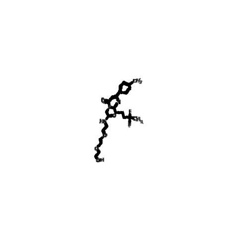 Cc1ccc(-c2cc(=O)n(CC(=O)NCCOCCOCCO)c(CCCC(C)(F)F)n2)cc1